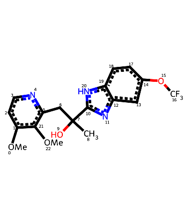 COc1ccnc(CC(C)(O)c2nc3cc(OC(F)(F)F)ccc3[nH]2)c1OC